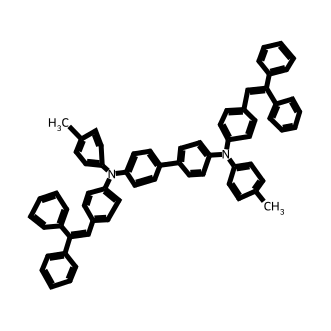 Cc1ccc(N(c2ccc(C=C(c3ccccc3)c3ccccc3)cc2)c2ccc(-c3ccc(N(c4ccc(C)cc4)c4ccc(C=C(c5ccccc5)c5ccccc5)cc4)cc3)cc2)cc1